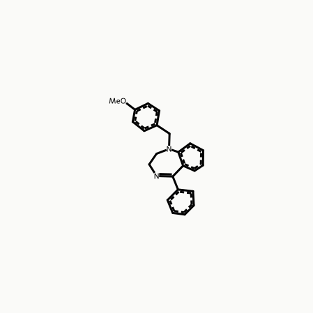 COc1ccc(CN2CCN=C(c3ccccc3)c3ccccc32)cc1